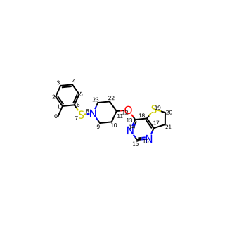 Cc1ccccc1SN1CCC(Oc2ncnc3c2SCC3)CC1